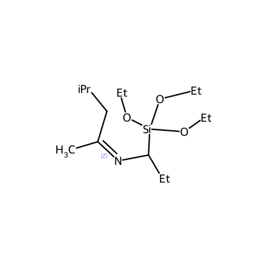 CCO[Si](OCC)(OCC)C(CC)/N=C(/C)CC(C)C